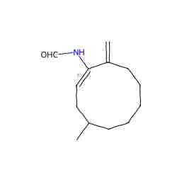 C=C1CCCCCC(C)C/C=C\1NC=O